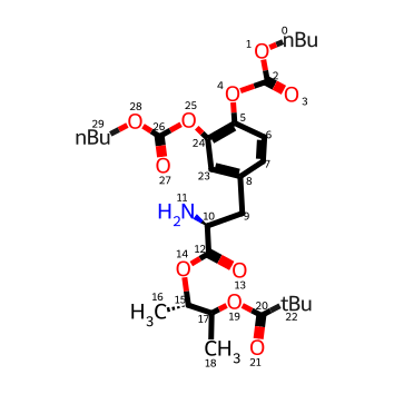 CCCCOC(=O)Oc1ccc(C[C@H](N)C(=O)O[C@@H](C)C(C)OC(=O)C(C)(C)C)cc1OC(=O)OCCCC